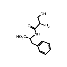 N[C@H](CO)C(=O)N[C@@H](Cc1ccccc1)C(=O)O